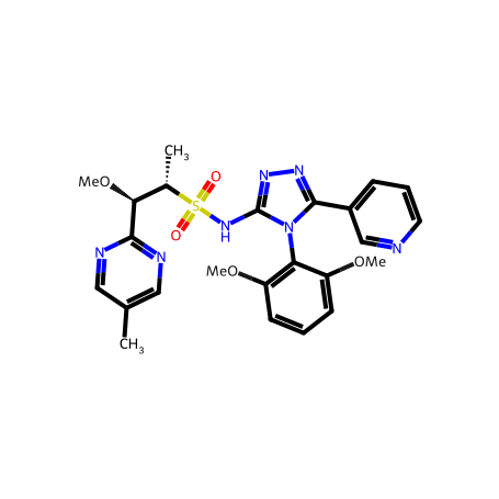 COc1cccc(OC)c1-n1c(NS(=O)(=O)[C@@H](C)[C@H](OC)c2ncc(C)cn2)nnc1-c1cccnc1